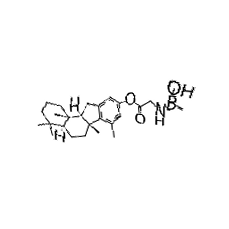 CB(O)NCC(=O)Oc1cc(C)c2c(c1)C[C@@H]1[C@@]3(C)CCCC(C)(C)[C@@H]3CC[C@@]21C